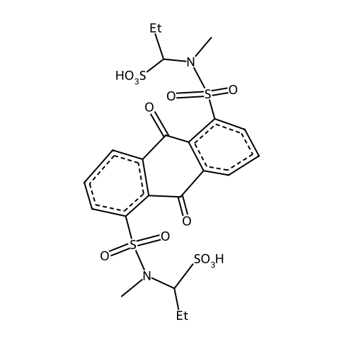 CCC(N(C)S(=O)(=O)c1cccc2c1C(=O)c1cccc(S(=O)(=O)N(C)C(CC)S(=O)(=O)O)c1C2=O)S(=O)(=O)O